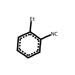 [C-]#[N+]c1ccccc1[CH+][CH2-]